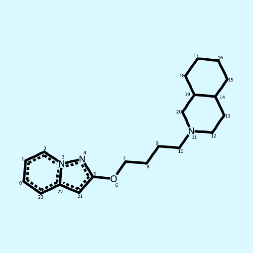 c1ccn2nc(OCCCCN3CCC4CCCCC4C3)cc2c1